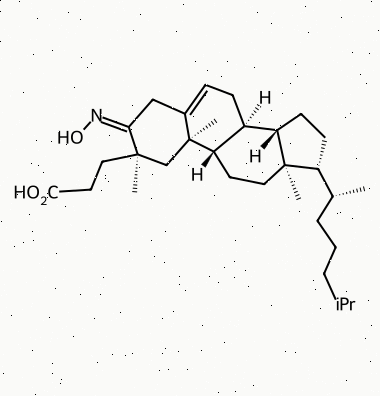 CC(C)CCC[C@@H](C)[C@H]1CC[C@H]2[C@@H]3CC=C4C/C(=N/O)[C@](C)(CCC(=O)O)C[C@]4(C)[C@H]3CC[C@]12C